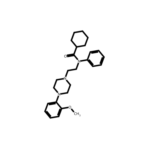 COc1ccccc1N1CCN(CCN(C(=O)C2CCCCC2)c2ccccc2)CC1